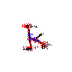 CC(=O)CCCCCCC(=O)NC(CCC(=O)NC(CCC(=O)NCCOCCOC1OC(CO)C(O)C(O)C1NC(C)=O)C(=O)NCCOCCOC(OC(CO)C(C)O)C(O)NC(C)=O)C(=O)NCCOCCOC(OC(CO)C(C)O)C(O)NC(C)=O